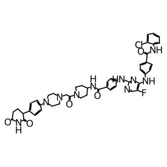 O=C1CCC(c2ccc(N3CCN(CC(=O)N4CCC(NC(=O)c5ccc(Nc6ncc(F)c(Nc7ccc(C(=O)Nc8ccccc8Cl)cc7)n6)cc5)CC4)CC3)cc2)C(=O)N1